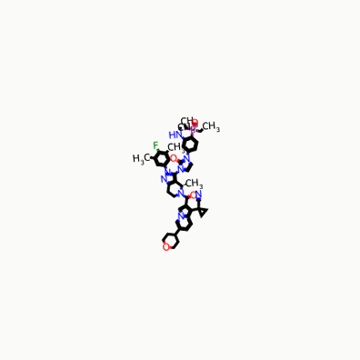 CCP(=O)(CC)c1ccc(-n2ccn(-c3c4c(nn3-c3cc(C)c(F)c(C)c3)CCN(C(=O)c3cn5cc(C6CCOCC6)ccc5c3C3(C#N)CC3)[C@H]4C)c2=O)cc1NC